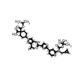 CC(C)OC(=O)C1(C(=O)O)CCC(n2cc(NC(=O)c3coc(-c4ccnc(N(CC5CC5)C(=O)OC(C)(C)C)c4)n3)c(C(F)F)n2)CC1